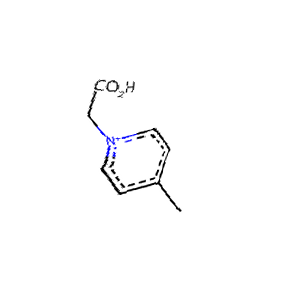 Cc1cc[n+](CC(=O)O)cc1